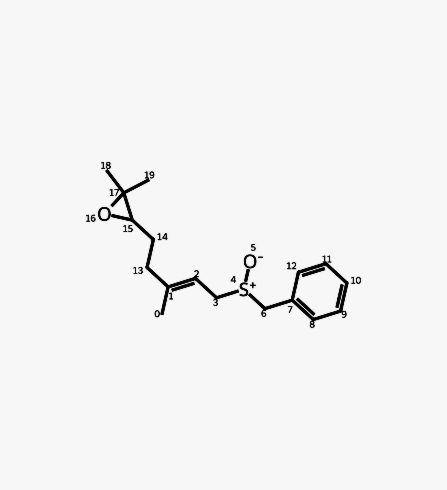 C/C(=C\C[S+]([O-])Cc1ccccc1)CCC1OC1(C)C